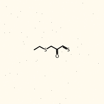 CCSCC(=O)C=S